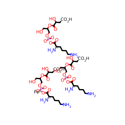 NCCCC[C@H](N)C(=O)OP(=O)([O-])OCC(CO)OC(=O)C(O)CC(=O)O.NCCCC[C@H](N)C(=O)OP(=O)([O-])OCC(CO)OC(=O)C(O)CC(=O)O.NCCCC[C@H](N)C(=O)OP(=O)([O-])OCC(CO)OC(=O)C(O)CC(=O)O.[Fe+3]